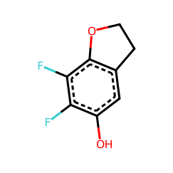 Oc1cc2c(c(F)c1F)OCC2